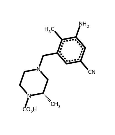 Cc1c(N)cc(C#N)cc1CN1CCN(C(=O)O)[C@@H](C)C1